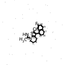 CC(=N)N1CCCCc2c1sc(C)c2C1=CCCc2ccc(F)cc21